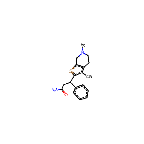 CC(=O)N1CCc2c(sc(C(CC(N)=O)c3ccccc3)c2C#N)C1